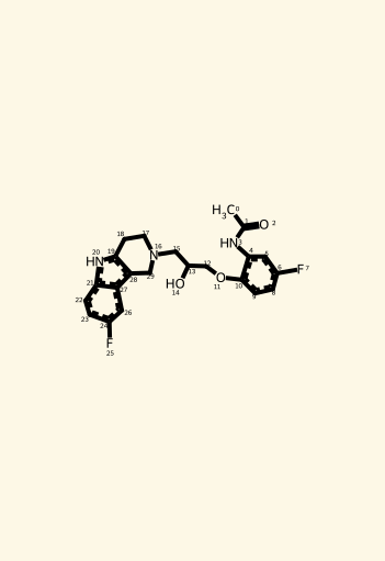 CC(=O)Nc1cc(F)ccc1OCC(O)CN1CCc2[nH]c3ccc(F)cc3c2C1